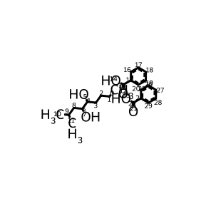 CCCCC(O)C(O)CC(C)C.O=C(O)c1ccccc1.O=C(O)c1ccccc1